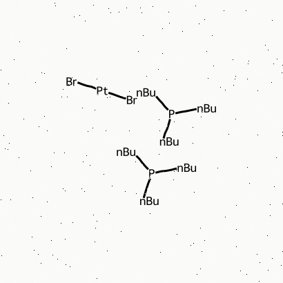 CCCCP(CCCC)CCCC.CCCCP(CCCC)CCCC.[Br][Pt][Br]